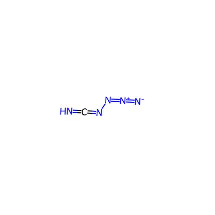 [N-]=[N+]=NN=C=N